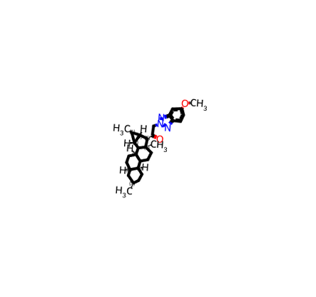 COc1ccc2nn(CC(=O)[C@H]3[C@H]4[C@@H](C)[C@H]4C4[C@@H]5CC[C@@H]6C[C@@H](C)CC[C@@H]6C5CC[C@@]43C)nc2c1